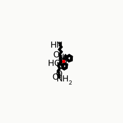 CNCCCC(=O)N1CCC[C@@H]([C@@](O)(CCCOC(N)=O)c2ccccc2Oc2ccccc2C)C1